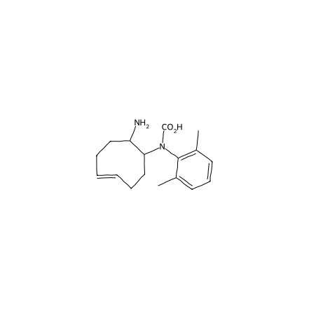 Cc1cccc(C)c1N(C(=O)O)C1CC/C=C/CCC1N